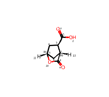 O=C(O)C1C[C@@H]2C[C@H]1C(=O)O2